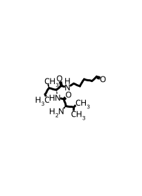 CC[C@@H](C)[C@@H](NC(=O)[C@H](N)C(C)C)C(=O)NCCCCC=O